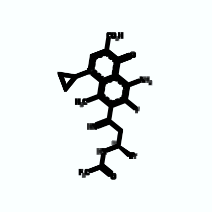 Cc1c(C(=N)C[C@H](NC(=O)C(F)(F)F)C(C)C)c(F)c(N)c2c(=O)c(C(=O)O)cn(C3CC3)c12